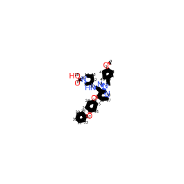 COc1ccc(Cn2nc(NC3CCCN(C(=O)O)C3)c3c(Oc4ccc(Oc5ccccc5)cc4)ccnc32)cc1